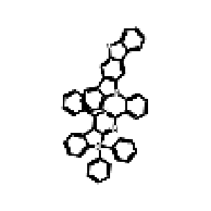 c1ccc(-c2nc(-c3ccccc3-n3c4ccccc4c4cc5oc6ccccc6c5cc43)nc3c2-c2ccccc2[Si]3(c2ccccc2)c2ccccc2)cc1